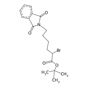 CC(C)(C)OC(=O)C(Br)CCCCN1C(=O)c2ccccc2C1=O